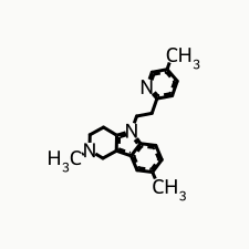 Cc1ccc(CCn2c3c(c4cc(C)ccc42)CN(C)CC3)nc1